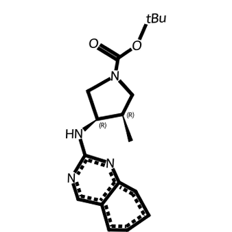 C[C@@H]1CN(C(=O)OC(C)(C)C)C[C@@H]1Nc1ncc2ccccc2n1